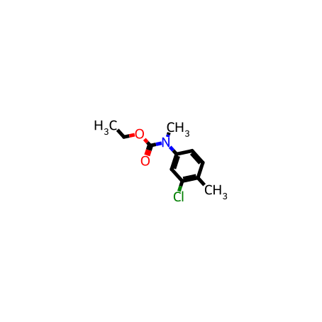 CCOC(=O)N(C)c1ccc(C)c(Cl)c1